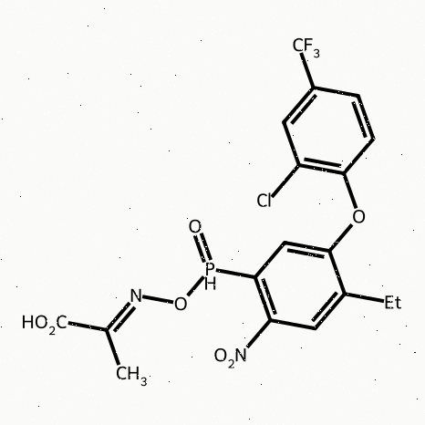 CCc1cc([N+](=O)[O-])c([PH](=O)ON=C(C)C(=O)O)cc1Oc1ccc(C(F)(F)F)cc1Cl